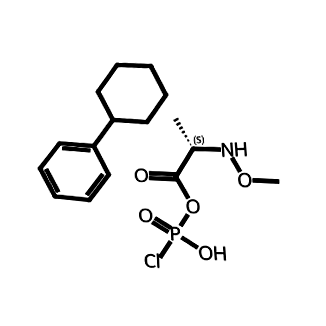 CON[C@@H](C)C(=O)OP(=O)(O)Cl.c1ccc(C2CCCCC2)cc1